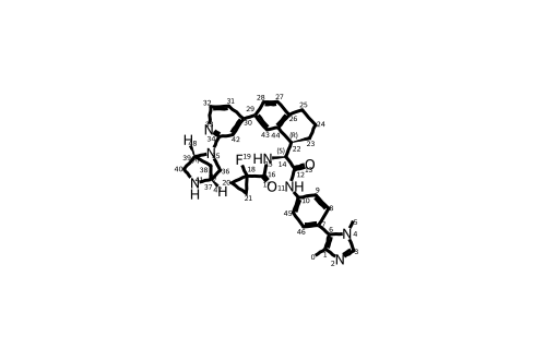 Cc1ncn(C)c1-c1ccc(NC(=O)[C@@H](NC(=O)C2(F)CC2)[C@@H]2CCCc3ccc(-c4ccnc(N5C[C@H]6C[C@@H]5CN6)c4)cc32)cc1